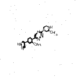 C[C@@H]1CN(c2ncc(-c3ccc(-c4cn[nH]c4)cc3O)nn2)CCN1